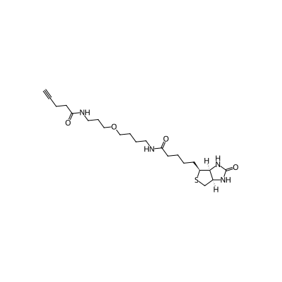 C#CCCC(=O)NCCCOCCCCNC(=O)CCCC[C@@H]1SC[C@@H]2NC(=O)N[C@@H]21